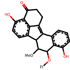 CCOC1c2c(O)cccc2C2=C3CCC(=O)c4c(O)ccc(c43)C2C1OC